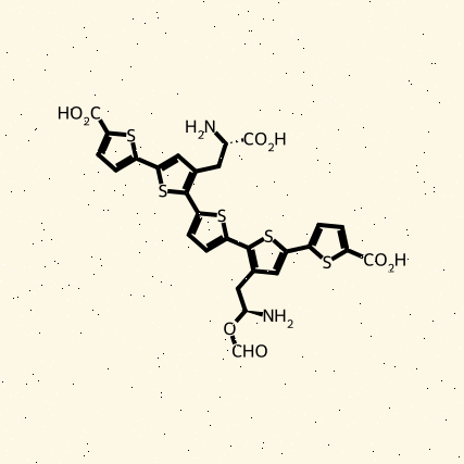 N[C@H](Cc1cc(-c2ccc(C(=O)O)s2)sc1-c1ccc(-c2sc(-c3ccc(C(=O)O)s3)cc2C[C@H](N)C(=O)O)s1)OC=O